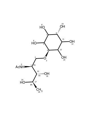 CC(=O)N[C@@H](CO[C@H]1C(O)C(O)[C@H](O)C(O)C1O)[C@H](O)[C@@H](C)O